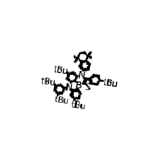 CC(C)(C)c1cc(N2c3cc(C(C)(C)C)ccc3B3c4sc5cc(C(C)(C)C)ccc5c4N(c4ccc5c(c4)C(C)(C)CCC5(C)C)c4cc(C(C)(C)C)cc2c43)cc(C(C)(C)C)c1